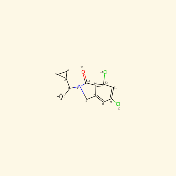 CC(C1CC1)N1Cc2cc(Cl)cc(Cl)c2C1=O